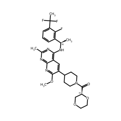 COc1nc2nc(C)nc(N[C@H](C)c3cccc(C(C)(F)F)c3F)c2cc1C1CCN(C(=O)[C@@H]2COCCO2)CC1